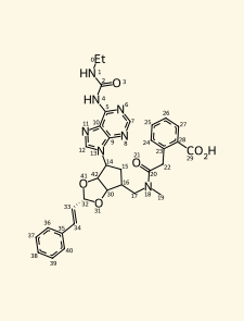 CCNC(=O)Nc1ncnc2c1ncn2C1CC(CN(C)C(=O)Cc2ccccc2C(=O)O)C2O[C@H](/C=C/c3ccccc3)OC21